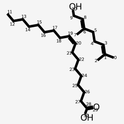 CC(C)=CCC/C(C)=C/CO.CCCCCCCC/C=C\CCCCCCCC(=O)O